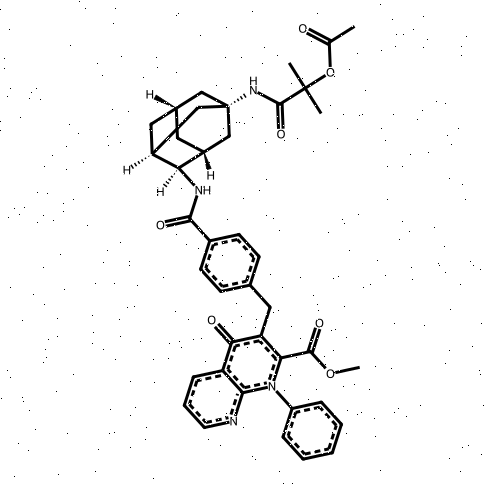 COC(=O)c1c(Cc2ccc(C(=O)N[C@@H]3[C@@H]4C[C@@H]5C[C@H]3C[C@@](NC(=O)C(C)(C)OC(C)=O)(C5)C4)cc2)c(=O)c2cccnc2n1-c1ccccc1